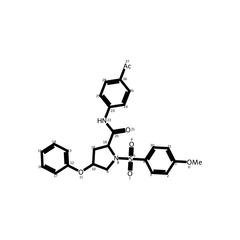 COc1ccc(S(=O)(=O)N2CC(Oc3ccccc3)CC2C(=O)Nc2ccc(C(C)=O)cc2)cc1